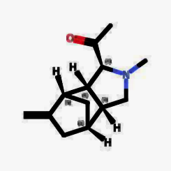 C=C1C[C@@H]2C[C@H]1[C@H]1[C@@H]2CN(C)[C@@H]1C(C)=O